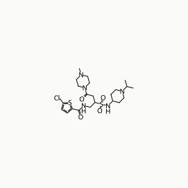 CC(C)N1CCC(NS(=O)(=O)C(CNC(=O)c2ccc(Cl)s2)CC(=O)N2CCN(C)CC2)CC1